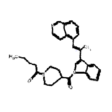 CCCCC(=O)N1CCC(C(=O)n2cc(/C(C)=C/c3cccc4cnccc34)c3ccccc32)CC1